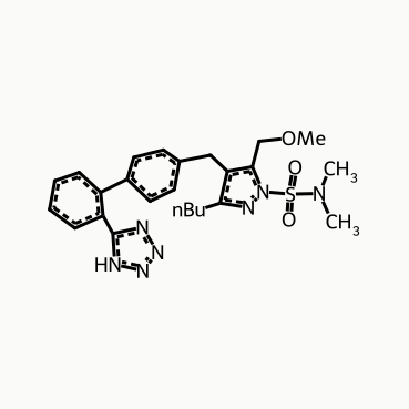 CCCCc1nn(S(=O)(=O)N(C)C)c(COC)c1Cc1ccc(-c2ccccc2-c2nnn[nH]2)cc1